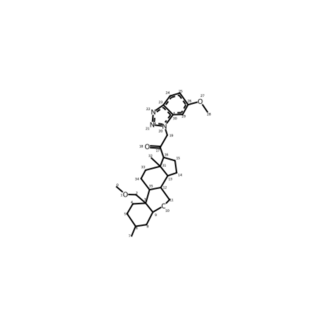 COCC12CCC(C)CC1CCC1C3CCC(C(=O)Cn4nnc5ccc(OC)cc54)C3(C)CCC12